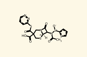 CC(=O)N(C1C(=O)N2CC(C(=O)O)(C(=O)Sc3cccnn3)CS[C@H]12)[S+]([O-])c1cccs1